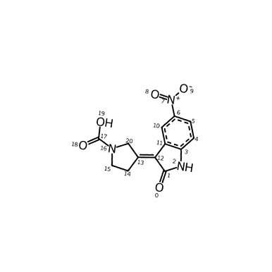 O=C1Nc2ccc([N+](=O)[O-])cc2C1=C1CCN(C(=O)O)C1